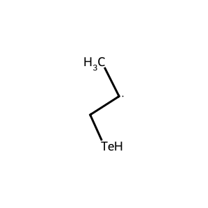 C[CH]C[TeH]